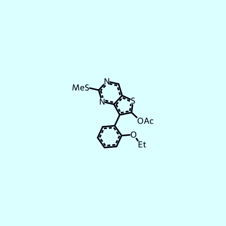 CCOc1ccccc1-c1c(OC(C)=O)sc2cnc(SC)nc12